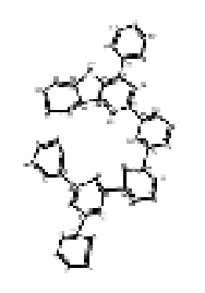 c1ccc(-c2cc(-c3ccccc3)nc(-c3cccc(-c4cccc(-c5nc(-c6ccccc6)c6sc7ccccc7c6n5)c4)c3)c2)cc1